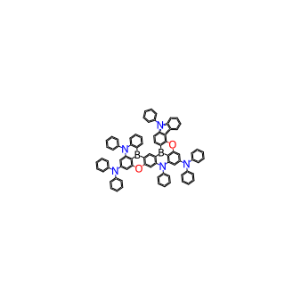 c1ccc(N(c2ccccc2)c2cc3c4c(c2)N(c2ccccc2)c2ccccc2B4c2cc4c(cc2O3)N(c2ccccc2)c2cc(N(c3ccccc3)c3ccccc3)cc3c2B4c2ccc4c(c2O3)c2ccccc2n4-c2ccccc2)cc1